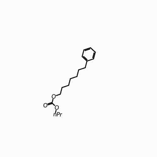 CCCOC(=O)OCCCCCCCc1ccccc1